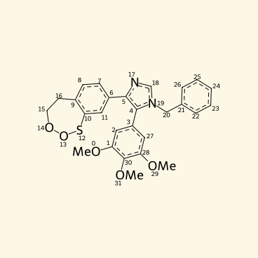 COc1cc(-c2c(-c3ccc4c(c3)SOOCC4)ncn2Cc2ccccc2)cc(OC)c1OC